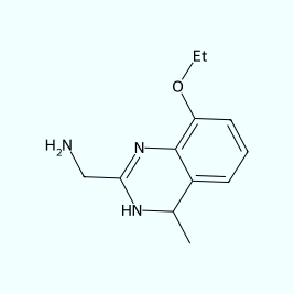 CCOc1cccc2c1N=C(CN)NC2C